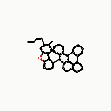 C=C/C=C\c1cc2oc3cccc(-c4c5ccccc5c(-c5ccccc5-c5ccccc5)c5ccccc45)c3c2cc1C